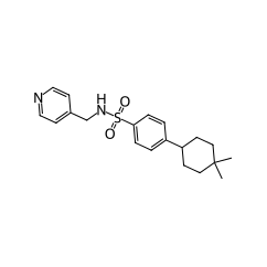 CC1(C)CCC(c2ccc(S(=O)(=O)NCc3ccncc3)cc2)CC1